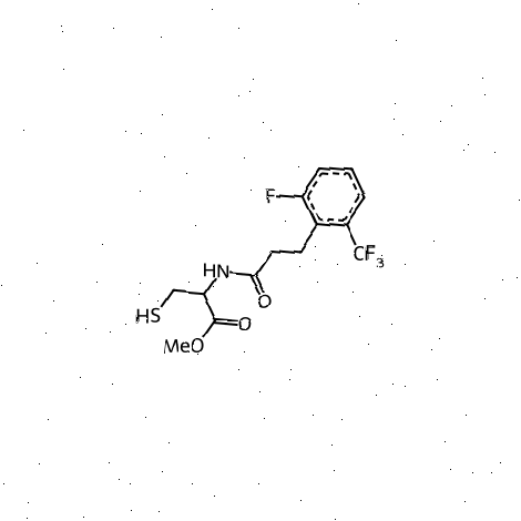 COC(=O)C(CS)NC(=O)CCc1c(F)cccc1C(F)(F)F